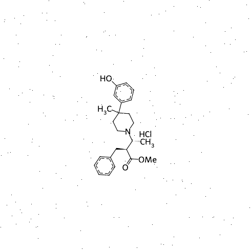 COC(=O)[C@@H](Cc1ccccc1)[C@@H](C)N1CCC(C)(c2cccc(O)c2)CC1.Cl